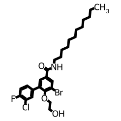 CCCCCCCCCCCCNC(=O)c1cc(Br)c(OCCO)c(-c2ccc(F)c(Cl)c2)c1